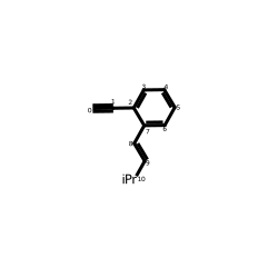 C#Cc1ccccc1C=CC(C)C